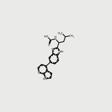 CC(C)CC(NC(=O)O)c1nc2cc(-c3ccnc4[nH]ccc34)ccc2[nH]1